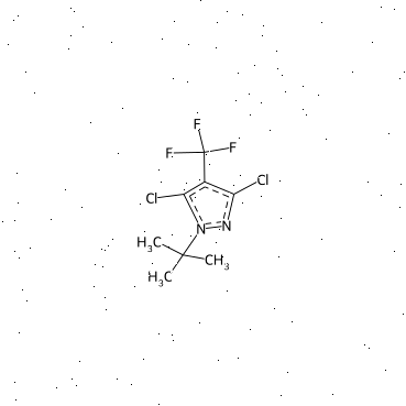 CC(C)(C)n1nc(Cl)c(C(F)(F)F)c1Cl